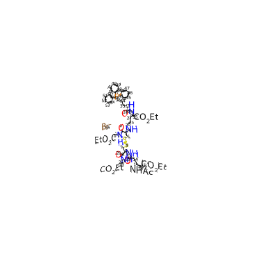 CCOC(=O)CNC(=O)C(CSSCC(NC(=O)CCC(NC(C)=O)C(=O)OCC)C(=O)NCC(=O)OCC)NCCCC(NC(=O)CCCC[P+](c1ccccc1)(c1ccccc1)c1ccccc1)C(=O)OCC.[Br-]